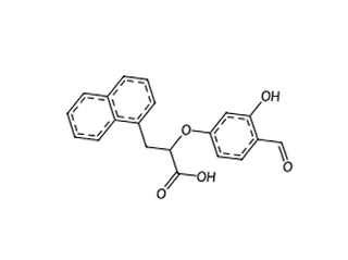 O=Cc1ccc(OC(Cc2cccc3ccccc23)C(=O)O)cc1O